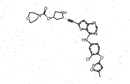 Cc1cc(Oc2ccc(Nc3ncnc4cc(C#C[C@@H]5C[C@@H](OC(=O)N6CCOCC6)CN5)sc34)cc2Cl)no1